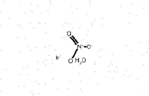 O.O=[N+]([O-])[O-].[Ir]